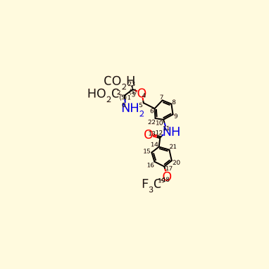 N[C@H](C(=O)O)[C@H](OCc1cccc(NC(=O)c2ccc(OC(F)(F)F)cc2)c1)C(=O)O